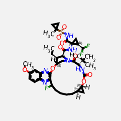 CC[C@@H]1[C@@H]2CN(C(=O)[C@H](C(C)(C)C)NC(=O)O[C@@H]3C[C@H]3CCCCC(F)c3nc4ccc(OC)cc4nc3O2)[C@@H]1C(=O)N[C@]1(C(=O)NS(=O)(=O)C2(C)CC2)C[C@H]1C(F)F